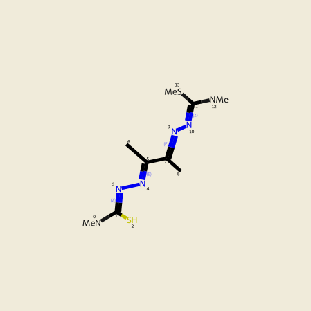 CN/C(S)=N/N=C(C)/C(C)=N/N=C(/NC)SC